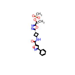 C[C@@H](OS(C)(=O)=O)c1nnc([C@H]2C[C@H](NC(=O)c3cc(-c4ccccc4)no3)C2)o1